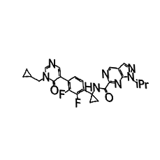 CC(C)n1ncc2cnc(C(=O)NC3(c4ccc(-c5cncn(CC6CC6)c5=O)c(F)c4F)CC3)nc21